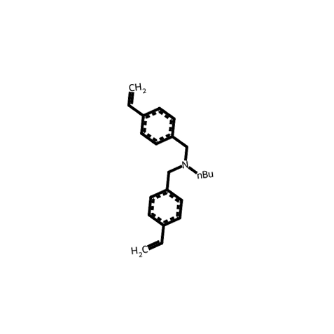 C=Cc1ccc(CN(CCCC)Cc2ccc(C=C)cc2)cc1